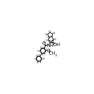 COc1cc(-c2ccccc2)ccc1C(=O)NC1C(O)C2CC1C1CCCC21